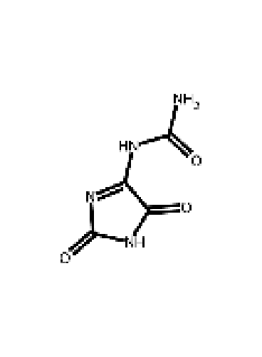 NC(=O)NC1=NC(=O)NC1=O